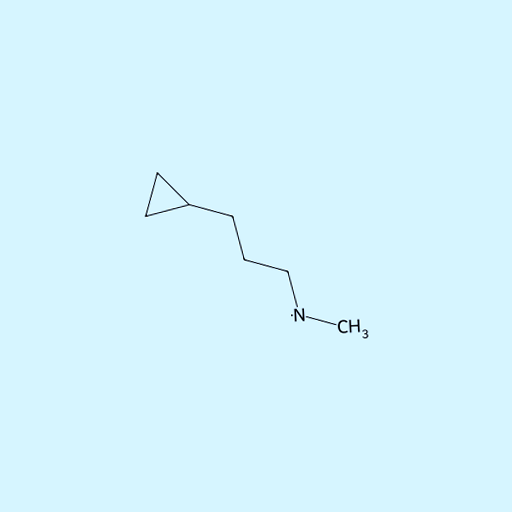 C[N]CCCC1CC1